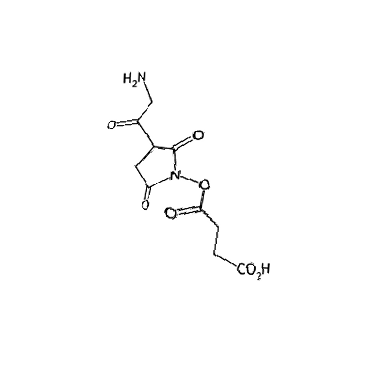 NCC(=O)C1CC(=O)N(OC(=O)CCC(=O)O)C1=O